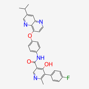 Cc1ncc(C(=O)Nc2ccc(Oc3ccnc4cc(C(C)C)cnc34)cc2)c(O)c1-c1ccc(F)cc1